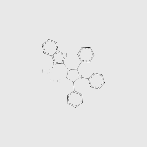 C[C@H]1C(c2ccccc2)N(c2ccccc2)C(c2ccccc2)N1c1nc2ccccc2n1C